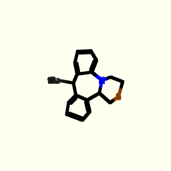 CC(C)(C)C1c2ccccc2C2CSCCN2c2ccccc21